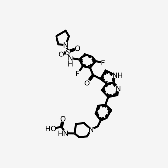 O=C(O)NC1CCN(Cc2ccc(-c3cnc4[nH]cc(C(=O)c5c(F)ccc(NS(=O)(=O)N6CCCC6)c5F)c4c3)cc2)CC1